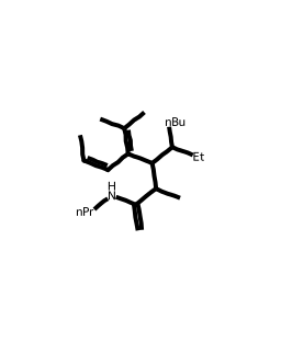 C=C(NCCC)C(C)C(C(/C=C\C)=C(C)C)C(CC)CCCC